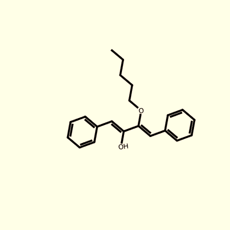 CCCCCOC(=Cc1ccccc1)C(O)=Cc1ccccc1